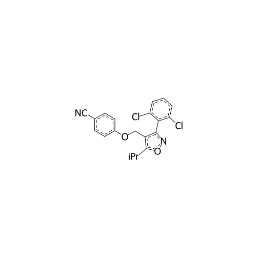 CC(C)c1onc(-c2c(Cl)cccc2Cl)c1COc1ccc(C#N)cc1